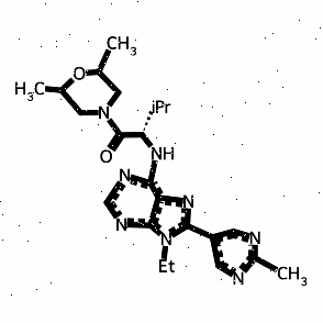 CCn1c(-c2cnc(C)nc2)nc2c(N[C@H](C(=O)N3CC(C)OC(C)C3)C(C)C)ncnc21